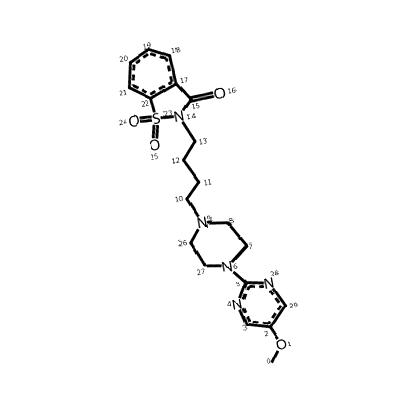 COc1cnc(N2CCN(CCCCN3C(=O)c4ccccc4S3(=O)=O)CC2)nc1